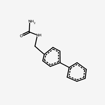 NC(=O)NCc1ccc(-c2ccccc2)cc1